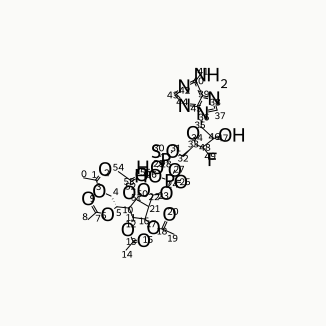 CC(=O)OC[C@@H](OC(C)=O)C1[C@@H](OC(C)=O)C(OC(C)=O)C2[C@H](OP(=O)(O)OP(O)(=S)OC[C@H]3O[C@@H](n4cnc5c(N)ncnc54)C(O)C3F)OC21OC(C)=O